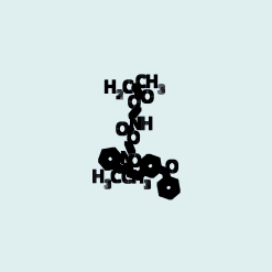 C=C(C)C(=O)OCCNC(=O)OCCN1c2ccccc2C(C)(C)C12C=Cc1cc(C(=O)c3ccccc3)ccc1O2